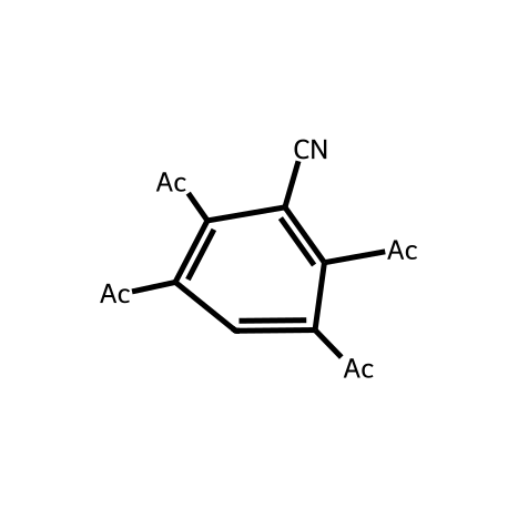 CC(=O)c1cc(C(C)=O)c(C(C)=O)c(C#N)c1C(C)=O